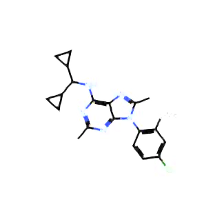 COc1cc(Cl)ccc1-n1c(C)nc2c(NC(C3CC3)C3CC3)nc(C)nc21